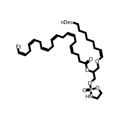 CC/C=C\C/C=C\C/C=C\C/C=C\C/C=C\C/C=C\CCC(=O)OC(CO/C=C\CCCCCCCCCCCCCCCC)COP1(=O)NCCO1